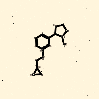 CC(=O)N1CCSC1c1cccc(OCC2CO2)c1